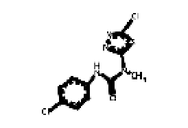 CN(C(=O)Nc1ccc(Cl)cc1)c1nnc(Cl)s1